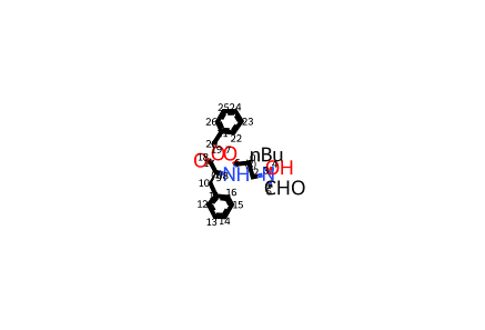 CCCC[C@H](CN(O)C=O)C(=O)N[C@@H](Cc1ccccc1)C(=O)OCc1ccccc1